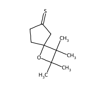 CC1(C)OC2(CCC(=S)C2)C1(C)C